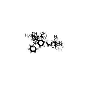 CC(=O)N[C@]1(C(=O)NC(C)(C)C)C[C@H](CCB2OC(C)(C)C(C)(C)O2)CC[C@H]1CN1CCCCC1